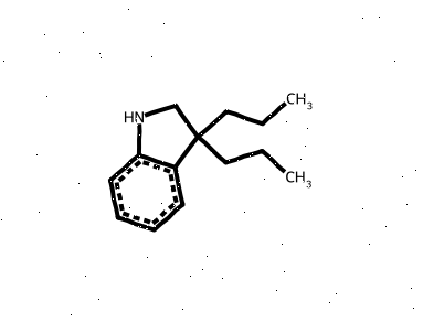 CCCC1(CCC)CNc2ccccc21